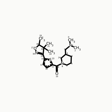 CN(C)CC1CCCN(C(=O)c2ccc(C3=NOC(C(F)(F)F)C3(C)C)s2)C1